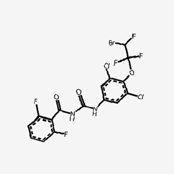 O=C(NC(=O)c1c(F)cccc1F)Nc1cc(Cl)c(OC(F)(F)C(F)Br)c(Cl)c1